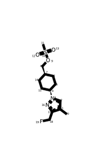 Cc1cn([C@H]2CC[C@H](COS(C)(=O)=O)CC2)nc1CF